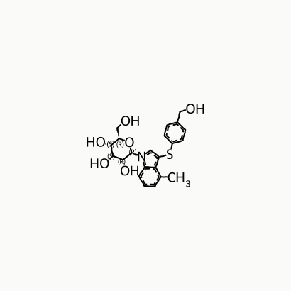 Cc1cccc2c1c(Sc1ccc(CO)cc1)cn2[C@@H]1O[C@H](CO)[C@@H](O)[C@H](O)[C@H]1O